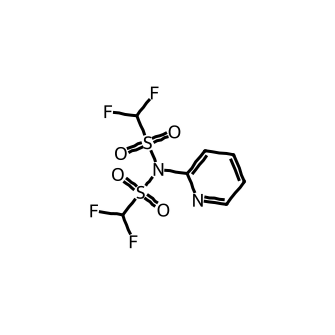 O=S(=O)(C(F)F)N(c1ccccn1)S(=O)(=O)C(F)F